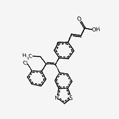 CCC(=C(c1ccc(C=CC(=O)O)cc1)c1ccc2scnc2c1)c1ccccc1Cl